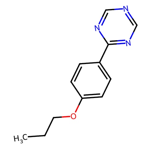 CCCOc1ccc(-c2ncncn2)cc1